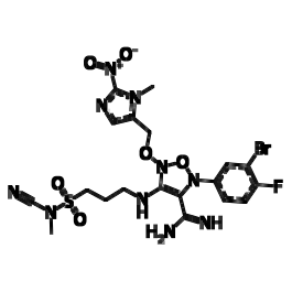 CN(C#N)S(=O)(=O)CCCNC1=C(C(=N)N)N(c2ccc(F)c(Br)c2)ON1OCc1cnc([N+](=O)[O-])n1C